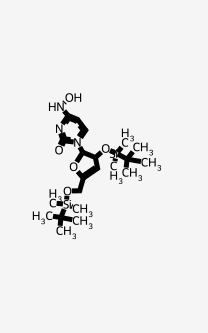 CC(C)(C)[Si](C)(C)OCC1=CC(O[Si](C)(C)C(C)(C)C)C(n2ccc(NO)nc2=O)O1